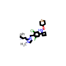 CCC/C=C\C=C1/N(C)C=CN1Cc1c(F)cc(C2(NOC3CCSCC3)C=CC2)cc1Cl